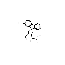 Cc1ccc2c(c1)C(CCCN(C)C)(CCCN(C)C)c1cc(C)ccc1-2